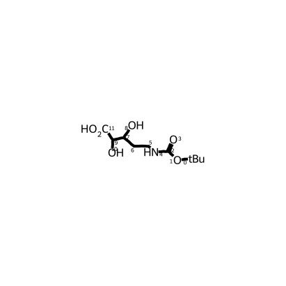 CC(C)(C)OC(=O)NCCC(O)C(O)C(=O)O